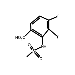 CS(=O)(=O)Nc1c(C(=O)O)ccc(F)c1F